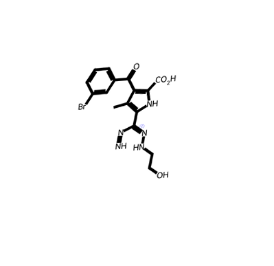 Cc1c(/C(N=N)=N/NCCO)[nH]c(C(=O)O)c1C(=O)c1cccc(Br)c1